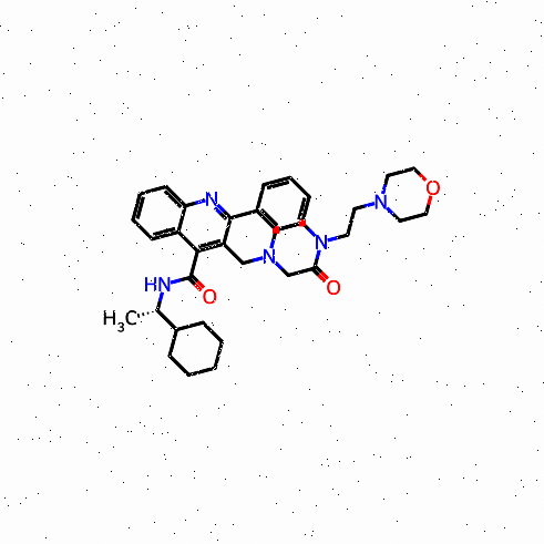 C[C@H](NC(=O)c1c(CN2CCN(CCN3CCOCC3)C(=O)C2)c(-c2ccccc2)nc2ccccc12)C1CCCCC1